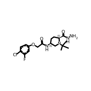 CC(C)(C)N1C[C@@H](NC(=O)COc2ccc(Cl)c(F)c2)CC[C@H]1C(=O)NN